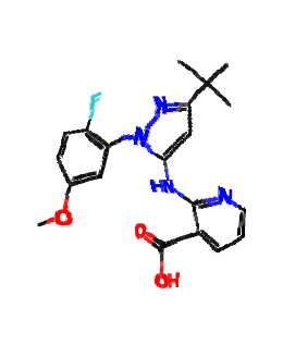 COc1ccc(F)c(-n2nc(C(C)(C)C)cc2Nc2ncccc2C(=O)O)c1